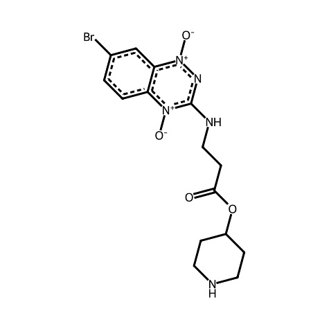 O=C(CCNc1n[n+]([O-])c2cc(Br)ccc2[n+]1[O-])OC1CCNCC1